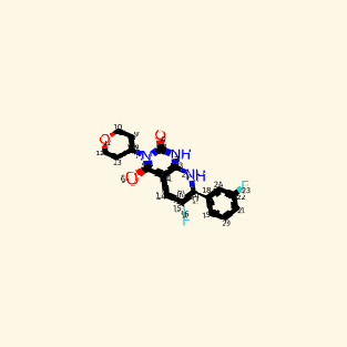 O=c1[nH]c2c(c(=O)n1C1CCOCC1)C[C@@H](F)[C@H](c1cccc(F)c1)N2